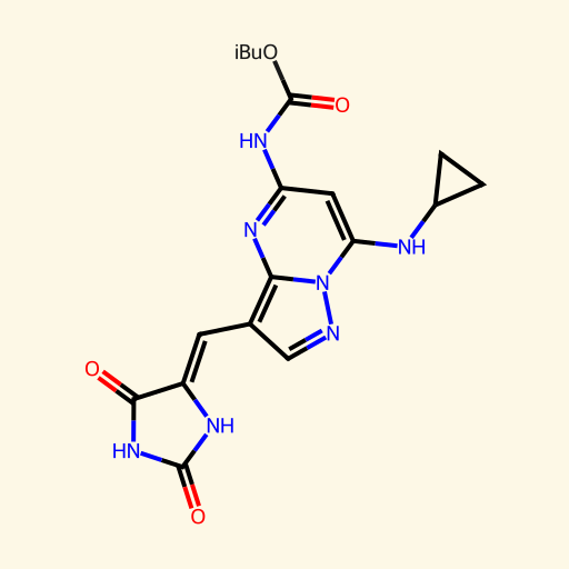 CC(C)COC(=O)Nc1cc(NC2CC2)n2ncc(/C=C3\NC(=O)NC3=O)c2n1